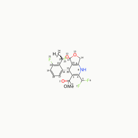 COC(=O)C1=C(C(F)F)NC2=C(C(=O)OC2)[C@H]1c1cccc(F)c1[C@@H](C)F